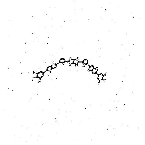 Fc1cc(-c2cc3sc(-c4ccc(-c5nc6sc(-c7ccc(-c8cc9sc(-c%10cc(F)c(F)c(F)c%10)cc9s8)s7)nc6s5)s4)cc3s2)cc(F)c1F